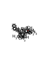 COC(OC)[C@@H]1OC(C)(C)O[C@H]1[C@H](O[C@@H]1O[C@H](COC(=O)Cc2ccc3ccccc3c2)[C@@H]2OC(C)(C)O[C@@H]2[C@H]1O)[C@H]1COC(C)(C)O1